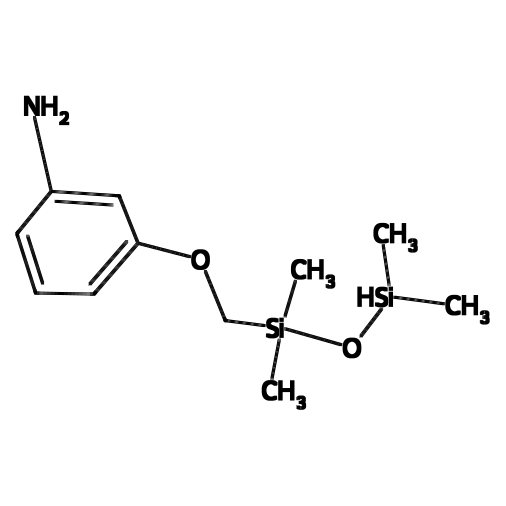 C[SiH](C)O[Si](C)(C)COc1cccc(N)c1